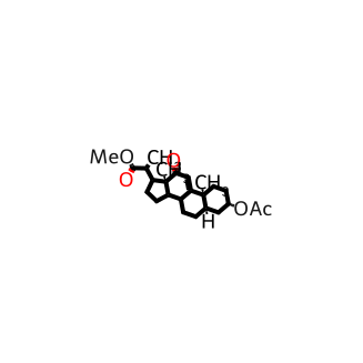 COC(=O)C(C)C1CCC2C3CC[C@@H]4C[C@H](OC(C)=O)CC[C@]4(C)C3=CC(=O)[C@]12C